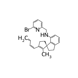 C=C/C=C\C1=C(C)[C@@]2(CC1)CCc1cccc(NCc3cccc(Br)n3)c12